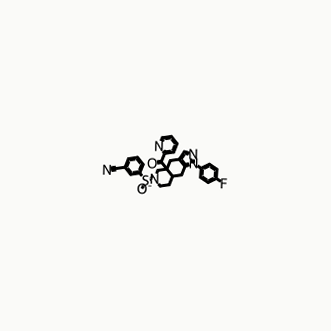 N#Cc1cccc([S+]([O-])N2CCC3Cc4c(cnn4-c4ccc(F)cc4)CC3(C(=O)c3ccccn3)C2)c1